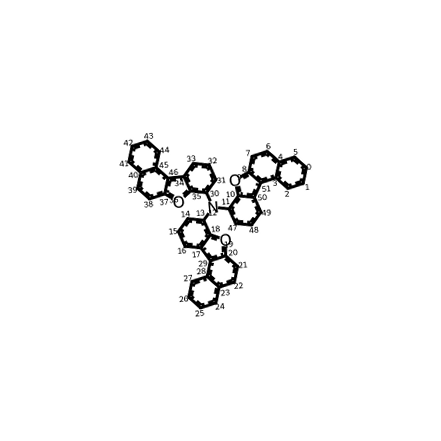 c1ccc2c(c1)ccc1oc3c(N(c4cccc5c4oc4ccc6ccccc6c45)c4cccc5c4oc4ccc6ccccc6c45)cccc3c12